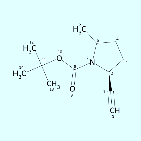 C#C[C@@H]1CCC(C)N1C(=O)OC(C)(C)C